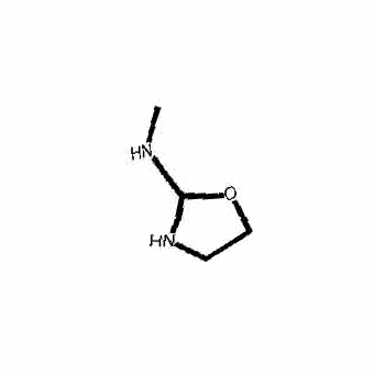 CNC1NCCO1